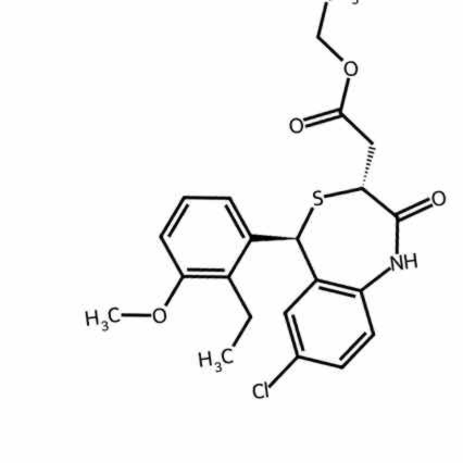 CCOC(=O)C[C@H]1S[C@H](c2cccc(OC)c2CC)c2cc(Cl)ccc2NC1=O